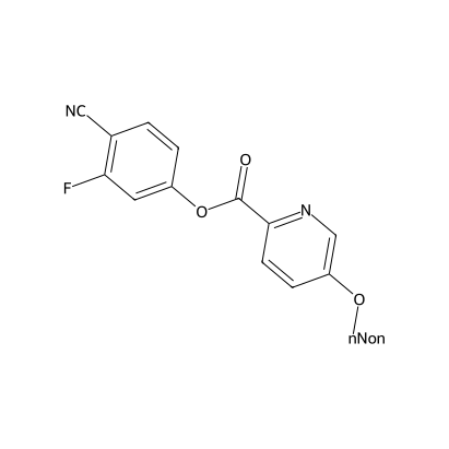 CCCCCCCCCOc1ccc(C(=O)Oc2ccc(C#N)c(F)c2)nc1